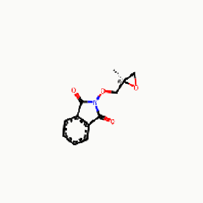 C[C@]1(CON2C(=O)c3ccccc3C2=O)CO1